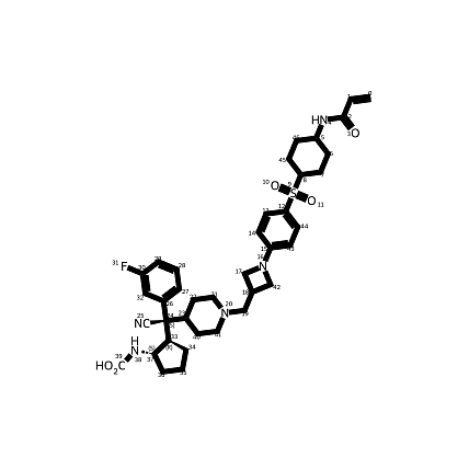 C=CC(=O)NC1CCC(S(=O)(=O)c2ccc(N3CC(CN4CCC([C@@](C#N)(c5cccc(F)c5)[C@H]5CCC[C@@H]5NC(=O)O)CC4)C3)cc2)CC1